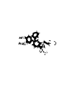 COc1ccc(C2(c3ccccc3)C=Cc3c(C(=O)O)nn(C=CC=O)c3C2)cc1OC